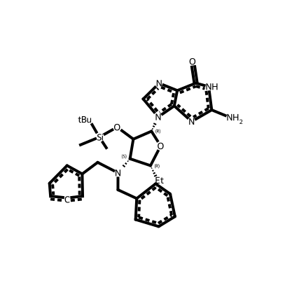 CC[C@H]1O[C@@H](n2cnc3c(=O)[nH]c(N)nc32)C(O[Si](C)(C)C(C)(C)C)[C@H]1N(Cc1ccccc1)Cc1ccccc1